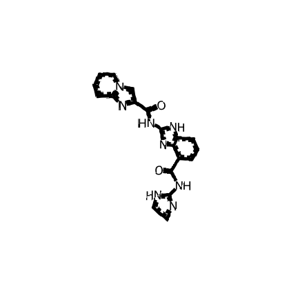 O=C(Nc1nc2c(C(=O)Nc3ncc[nH]3)cccc2[nH]1)c1cn2ccccc2n1